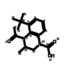 CC(=O)N1c2c(cccc2C(C)(C)C)N(C(=O)O)CC1C